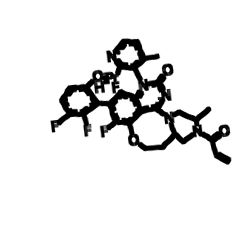 C=CC(=O)N1CC2CCOc3c(F)c(-c4c(O)ccc(F)c4F)c(F)c4c3c(nc(=O)n4-c3c(C)ccnc3C(C)C)N2CC1C